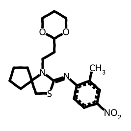 Cc1cc([N+](=O)[O-])ccc1N=C1SCC2(CCCC2)N1CCC1OCCCO1